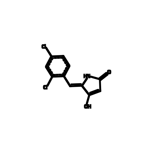 O=C1C=C(O)/C(=C/c2ccc(Cl)cc2Cl)N1